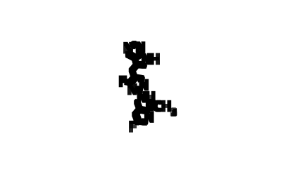 COc1ncc(F)cc1CNc1ncc(Cc2c[nH]c3ncncc23)c(F)n1